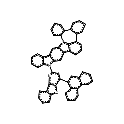 c1ccc2c(c1)-c1ccccc1-n1c3cc4c5ccccc5n(-c5nc(-c6cc7ccccc7c7ccccc67)c6oc7ccccc7c6n5)c4cc3c3cccc-2c31